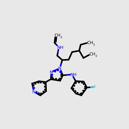 C=CNCC(CCC(CC)CC)n1nc(-c2ccncc2)cc1Nc1cccc(F)c1